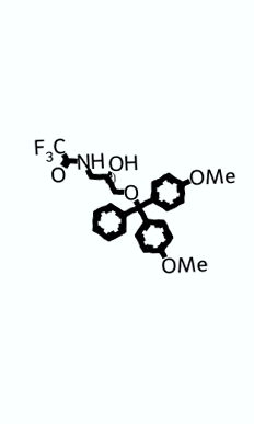 COc1ccc(C(OC[C@H](O)CNC(=O)C(F)(F)F)(c2ccccc2)c2ccc(OC)cc2)cc1